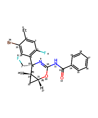 CCc1cc(F)c([C@@]2(CF)N=C(NC(=O)c3ccccc3)O[C@@H]3C[C@@H]32)cc1Br